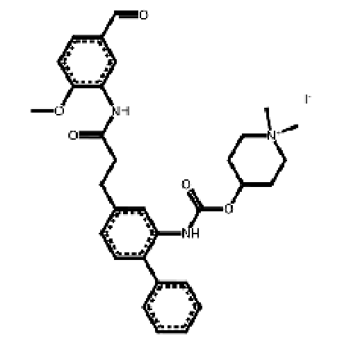 COc1ccc(C=O)cc1NC(=O)CCc1ccc(-c2ccccc2)c(NC(=O)OC2CC[N+](C)(C)CC2)c1.[I-]